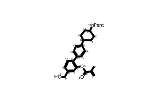 C=C(C)C(=O)Oc1cc(CO)ccc1-c1ccc(C2CCC(CCCCC)CC2)cc1